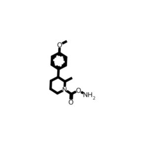 COc1ccc(C2CCCN(C(=O)ON)C2C)cc1